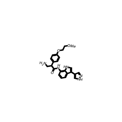 COCCOc1ccc(C(CN)C(=O)Nc2cccc3c(-c4cn[nH]c4)c[nH]c23)cc1